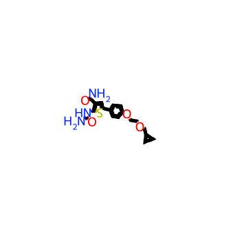 NC(=O)Nc1sc(-c2ccc(OCCOCC3CC3)cc2)cc1C(N)=O